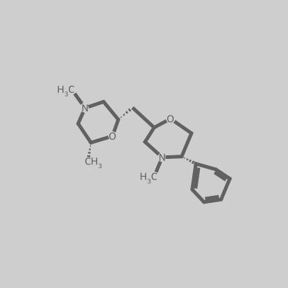 C[C@@H]1CN(C)C[C@H](CC2CN(C)[C@@H](c3ccccc3)CO2)O1